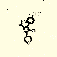 CNC(=O)c1sc(N2CCOCC2)c(C#N)c1-c1ccc(C=O)cc1